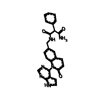 NC(=O)C(C(=O)NCc1ccc2c(ccc(=O)n2-c2ncnc3[nH]ccc23)c1)c1ccccc1